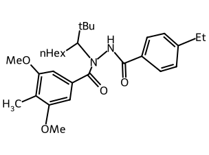 CCCCCCC(N(NC(=O)c1ccc(CC)cc1)C(=O)c1cc(OC)c(C)c(OC)c1)C(C)(C)C